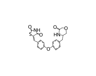 O=C1COCC(Cc2ccc(Oc3ccc(C=C4SC(=O)NC4=O)cc3)cc2)N1